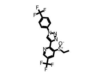 CC[S+]([O-])c1cc(C(F)(F)F)cnc1-c1cn(-c2ccc(C(F)(F)F)cc2)nn1